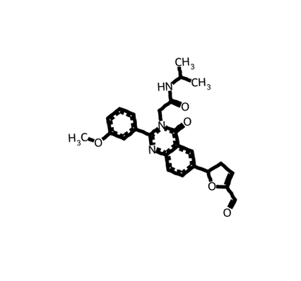 COc1cccc(-c2nc3ccc(C4CC=C(C=O)O4)cc3c(=O)n2CC(=O)NC(C)C)c1